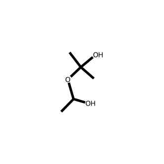 CC(O)OC(C)(C)O